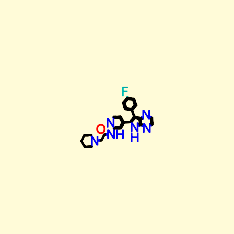 O=C(CN1CCCCC1)Nc1cc(-c2[nH]c3nccnc3c2-c2ccc(F)cc2)ccn1